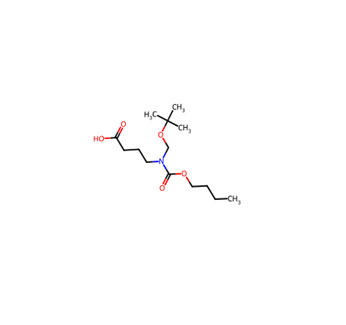 CCCCOC(=O)N(CCCC(=O)O)COC(C)(C)C